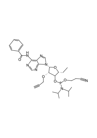 C#CCO[C@H]1C(OP(OCCC#N)N(C(C)C)C(C)C)[C@@H](CC)O[C@H]1n1cnc2c(NC(=O)c3ccccc3)ncnc21